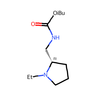 CCN1CCC[C@H]1CNC(=O)OCC(C)C